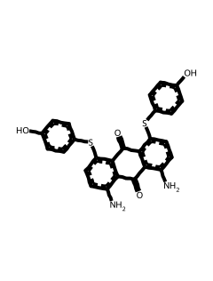 Nc1ccc(Sc2ccc(O)cc2)c2c1C(=O)c1c(N)ccc(Sc3ccc(O)cc3)c1C2=O